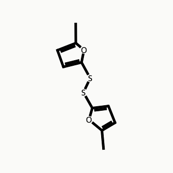 Cc1ccc(SSc2ccc(C)o2)o1